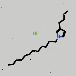 CCCCCCCCCCCCn1ccc(CCCC)c1.F